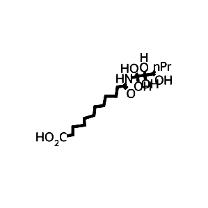 CCCC(O)C(O)(O)C(O)(O)NC(=O)CCCCCCCCCCC(=O)O